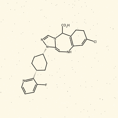 O=C(O)C1C2=C(C=C(Cl)CC2)NC=C2N1C=NN2[C@H]1CC[C@@H](c2ncccc2F)CC1